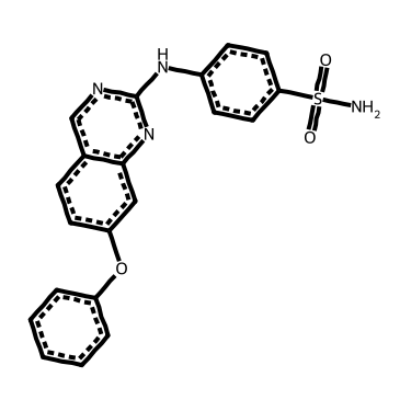 NS(=O)(=O)c1ccc(Nc2ncc3ccc(Oc4ccccc4)cc3n2)cc1